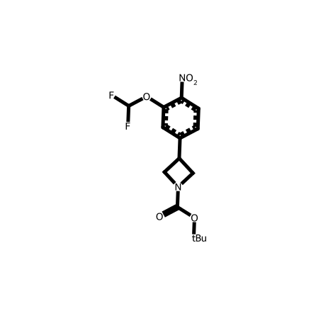 CC(C)(C)OC(=O)N1CC(c2ccc([N+](=O)[O-])c(OC(F)F)c2)C1